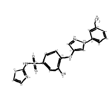 N#Cc1cc(S(=O)(=O)Nc2nccs2)ccc1Oc1cnn(-c2cccc(C(F)(F)F)c2)c1